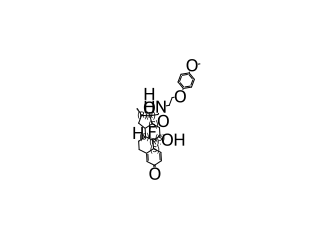 COc1ccc(OCCNC(=O)[C@@]2(O)[C@H](C)CC3[C@@H]4CCC5=CC(=O)C=C[C@]5(C)[C@@]4(F)[C@@H](O)C[C@@]32C)cc1